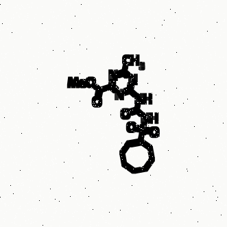 COC(=O)c1nc(C)nc(NC(=O)NS(=O)(=O)C2=CCCCCCC2)n1